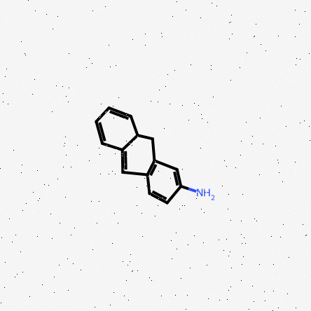 Nc1ccc2c(c1)CC1C=CC=CC1=C2